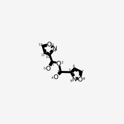 O=C(OC(=O)c1ccon1)c1ccon1